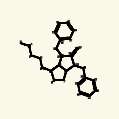 COCCC[C@@H]1SCC2C1N(Cc1ccccc1)C(=O)N2Cc1ccccc1